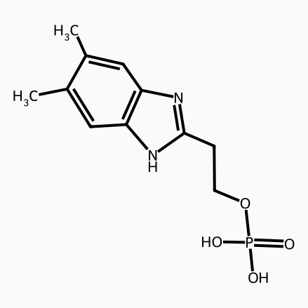 Cc1cc2nc(CCOP(=O)(O)O)[nH]c2cc1C